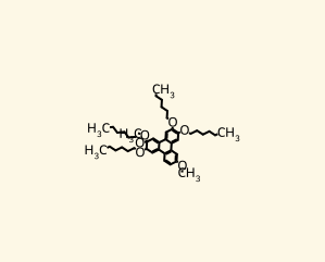 CCCCCCOc1cc2c3c(c4ccc(OC)cc4c2cc1OCCCCCC)=CC(OCCCCCC)C(OC)(OCCCCCC)C=3